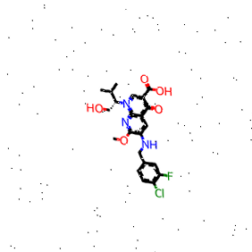 COc1nc2c(cc1NCc1ccc(Cl)c(F)c1)c(=O)c(C(=O)O)cn2[C@H](CO)C(C)C